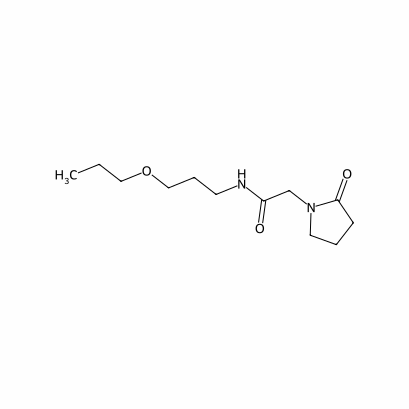 CCCOCCCNC(=O)CN1CCCC1=O